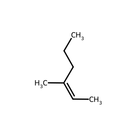 C/C=C(/C)CCC